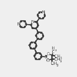 CC1(C)OB(c2cccc(-c3cccc(-c4cccc(-c5cc(-c6ccncc6)nc(-c6ccncc6)c5)c4)c3)c2)OC1(C)C